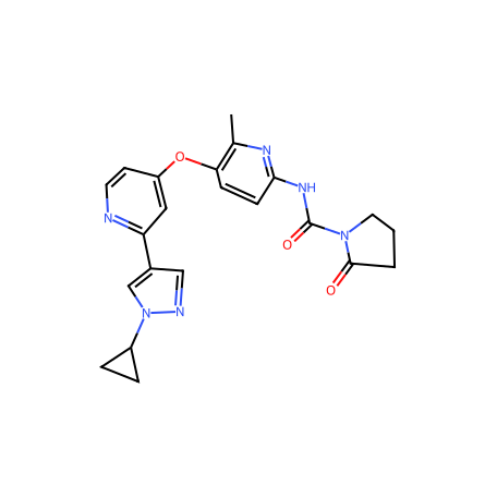 Cc1nc(NC(=O)N2CCCC2=O)ccc1Oc1ccnc(-c2cnn(C3CC3)c2)c1